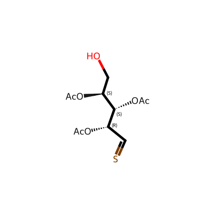 CC(=O)O[C@H]([C@H](C=S)OC(C)=O)[C@H](CO)OC(C)=O